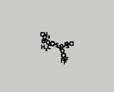 CCOC(=O)COc1ccc(SCC(COc2ccc(C(F)(F)F)cc2)OCc2ccc(Cl)s2)cc1C